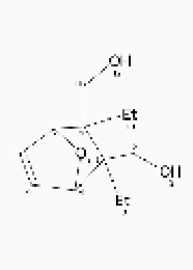 CCC1(CO)C2C=CC(O2)C1(CC)CO